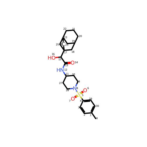 Cc1ccc(S(=O)(=O)N2CCC(NC(=O)C(O)C34CC5CCCC(C5)(C3)C4)CC2)cc1